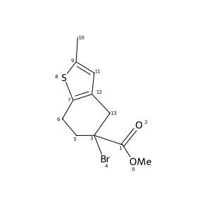 COC(=O)C1(Br)CCc2sc(C)cc2C1